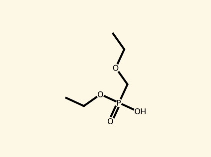 CCOCP(=O)(O)OCC